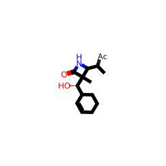 CC(=O)C(C)C1NC(=O)C1(C)[C@@H](O)C1C=CCCC1